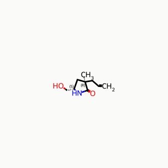 C=CC[C@]1(C)C[C@@H](CO)NC1=O